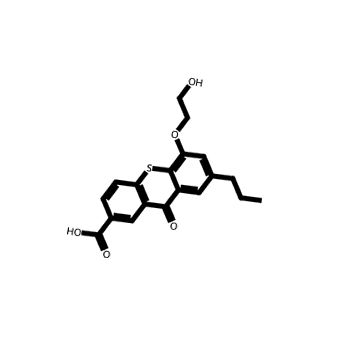 CCCc1cc(OCCO)c2sc3ccc(C(=O)O)cc3c(=O)c2c1